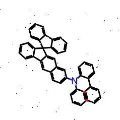 c1ccc(-c2ccccc2N(c2ccccc2)c2ccc3cc4c(cc3c2)C2(c3ccccc3-c3ccccc32)c2ccccc2-4)cc1